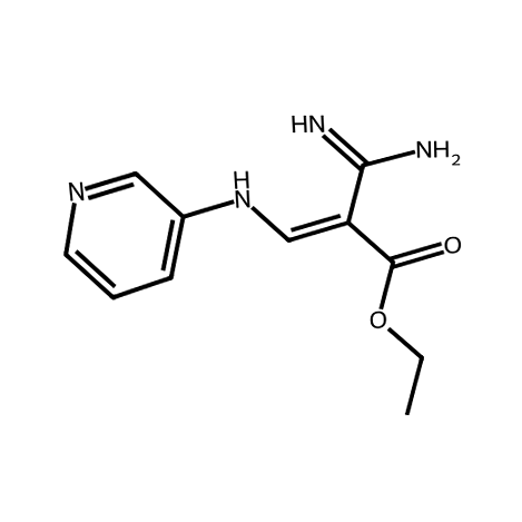 CCOC(=O)/C(=C/Nc1cccnc1)C(=N)N